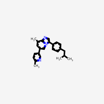 Cc1ccc(-c2cc(C)c3ncc(-c4ccc(CC(C)C)cc4)n3c2)cn1